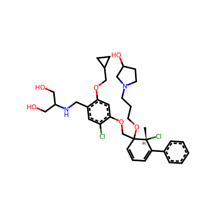 C[C@@]1(Cl)C(c2ccccc2)=CC=CC1(COc1cc(OCC2CC2)c(CNC(CO)CO)cc1Cl)OCCCN1CCC(O)C1